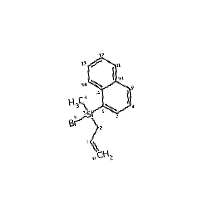 C=CC[Si](C)(Br)c1cccc2ccccc12